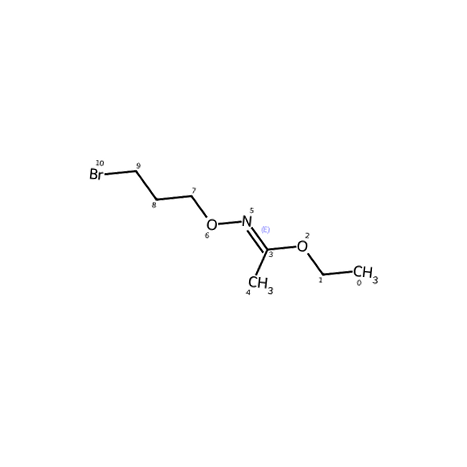 CCO/C(C)=N/OCCCBr